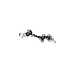 CS(=O)(=O)OCc1cc(=O)c(OCCCCCSc2ccnc3cc(C(F)(F)F)ccc23)co1